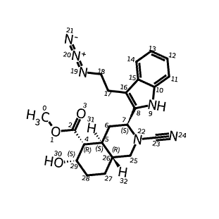 COC(=O)[C@@H]1[C@H]2C[C@@H](c3[nH]c4ccccc4c3CCN=[N+]=[N-])N(C#N)C[C@@H]2CC[C@@H]1O